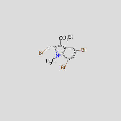 CCOC(=O)c1c(CBr)n(C)c2c(Br)cc(Br)cc12